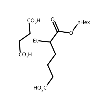 CCCCCCOC(=O)C(CC)CCCC(=O)O.O=C(O)CCC(=O)O